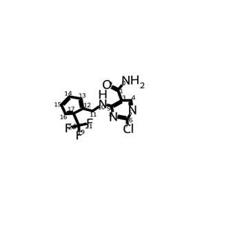 NC(=O)c1cnc(Cl)nc1NCc1ccccc1C(F)(F)F